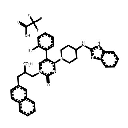 CCc1ccccc1-c1cn(CC(Cc2ccc3ccccc3c2)C(=O)O)c(=O)nc1N1CCC(Nc2nc3ccccc3[nH]2)CC1.O=C(O)C(F)(F)F